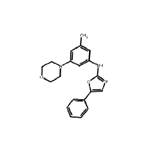 Cc1cc(Nc2ncc(-c3ccccc3)o2)cc(N2CCOCC2)c1